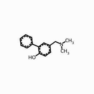 CN(C)Cc1ccc(O)c(-c2ccccc2)c1